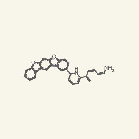 C=C(/C=C\C=C/N)C1=CC=CC(c2ccc3oc4cc5oc6ccccc6c5cc4c3c2)N1